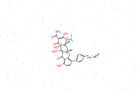 CN(C)[C@@H]1C(O)=C(C(N)=O)C(=O)[C@@]2(O)C(O)=C3C(=O)c4c(O)ccc(-c5ccc(CNC#N)cc5)c4C[C@H]3C[C@@H]12